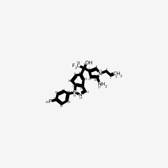 C=CCn1cc(C(O)(c2ccc3c(cnn3-c3ccc(F)cc3)c2)C(F)(F)F)cc1N